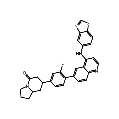 O=C1CC(c2ccc(-c3ccc4nccc(Nc5ccc6scnc6c5)c4c3)c(F)c2)CC2CCCN12